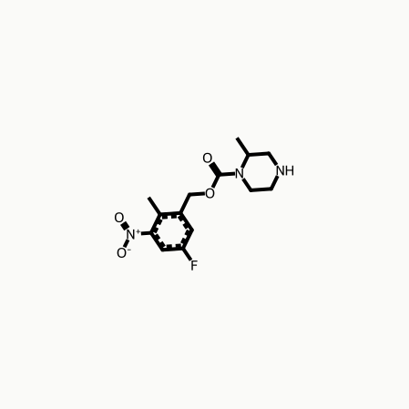 Cc1c(COC(=O)N2CCNCC2C)cc(F)cc1[N+](=O)[O-]